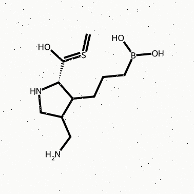 C=S=C(O)[C@H]1NCC(CN)C1CCCB(O)O